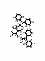 CC(C)C(COC(=O)N(c1ccccc1)c1ccccc1)C(COC(=O)N(c1ccccc1)c1ccccc1)C(C)C